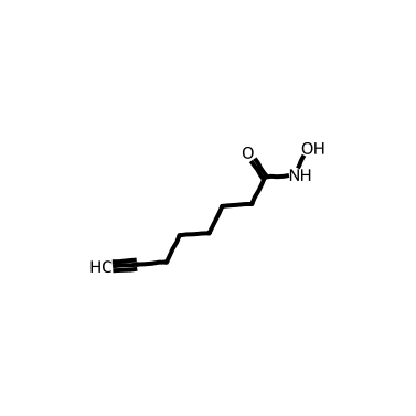 C#CCCCCCC(=O)NO